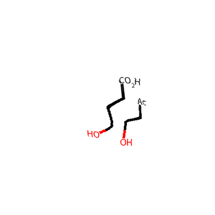 CC(=O)CCO.O=C(O)CCCO